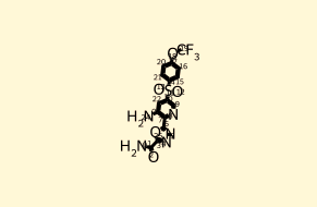 NC(=O)c1nnc(-c2ncc(S(=O)(=O)c3ccc(OC(F)(F)F)cc3)cc2N)o1